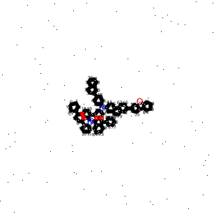 c1ccc(-c2ccc(-c3ccccc3N(c3ccccc3-c3cccc(N(c4ccc(-c5ccc6ccccc6c5)cc4)c4ccc5c(ccc6cc(-c7ccc8c(c7)oc7ccccc78)ccc65)c4)c3)c3ccc(-c4ccccc4)c4ccccc34)cc2)cc1